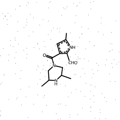 Cc1cc(C(=O)N2CC(C)NC(C)C2)c(C=O)[nH]1